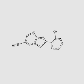 C#Cc1cnc2nc(-c3ccccc3O)cn2c1